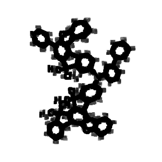 CC1(C)c2cc(N(c3cccc(-c4ccccc4)c3)c3ccc4c(c3)C(C)(C)c3c5c(c6oc7ccccc7c6c3-4)-c3ccccc3C5(C)C)ccc2-c2c1cc(-c1ccncc1)c1oc3ccccc3c21